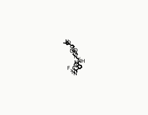 Cc1cc(-c2ccc(S(=O)(=O)N3CCN(C[C@H](C)Nc4ncnc5c(-c6cn(C)nc6C(F)(F)F)cccc45)CC3)s2)on1